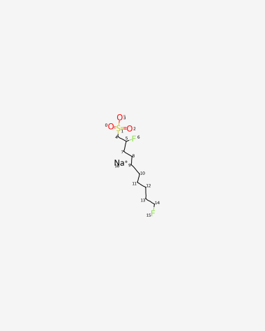 O=S(=O)([O-])CC(F)CCCCCCCCF.[Na+]